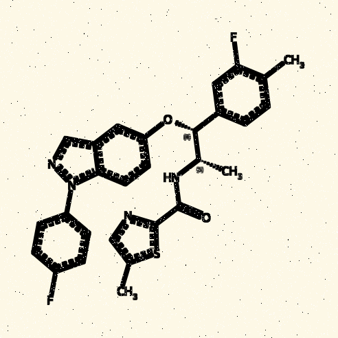 Cc1cnc(C(=O)N[C@@H](C)[C@H](Oc2ccc3c(cnn3-c3ccc(F)cc3)c2)c2ccc(C)c(F)c2)s1